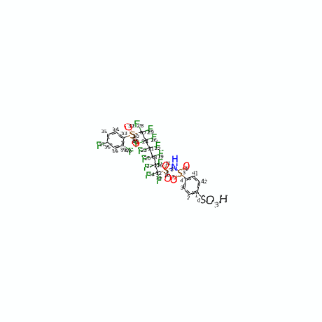 O=S(=O)(O)c1ccc(S(=O)(=O)NS(=O)(=O)C(F)(F)C(F)(F)C(F)(F)C(F)(F)C(F)(F)C(F)(F)S(=O)(=O)c2ccc(F)cc2F)cc1